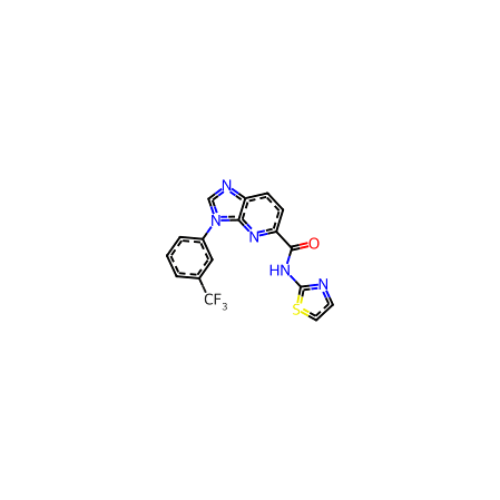 O=C(Nc1nccs1)c1ccc2ncn(-c3cccc(C(F)(F)F)c3)c2n1